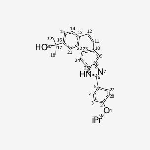 CC(C)Oc1ccc(-c2nc3cc(/C=C\c4ccc(C(C)(C)O)cc4)ccc3[nH]2)cc1